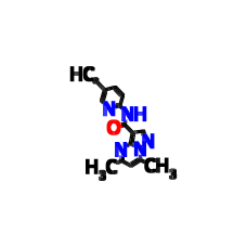 C#Cc1ccc(NC(=O)c2cnn3c(C)cc(C)nc23)nc1